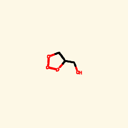 OCC1COOO1